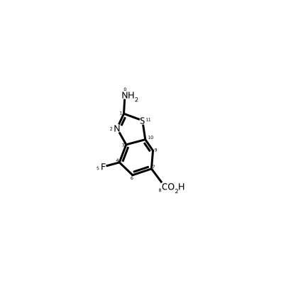 Nc1nc2c(F)cc(C(=O)O)cc2s1